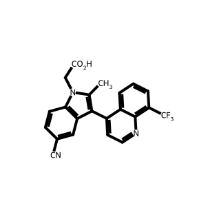 Cc1c(-c2ccnc3c(C(F)(F)F)cccc23)c2cc(C#N)ccc2n1CC(=O)O